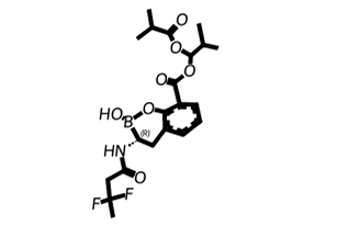 CC(C)C(=O)OC(OC(=O)c1cccc2c1OB(O)[C@@H](NC(=O)CC(C)(F)F)C2)C(C)C